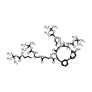 CC(C)(C)OC(=O)NCCC[C@@H](CNC(=O)CCNC(=O)[C@@H]1Cc2cccc(c2)-c2ccc(O)c(c2)C[C@H](NC(=O)OC(C)(C)C)C(=O)N[C@@H](C[C@@H](O)CNC(=O)OC(C)(C)C)C(=O)N1)NC(=O)OC(C)(C)C